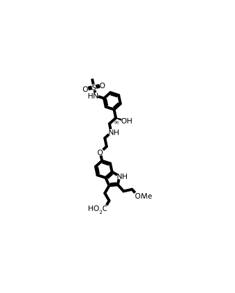 COCCc1[nH]c2cc(OCCNC[C@H](O)c3cccc(NS(C)(=O)=O)c3)ccc2c1CCC(=O)O